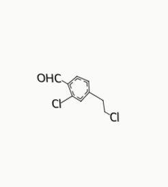 O=Cc1ccc(CCCl)cc1Cl